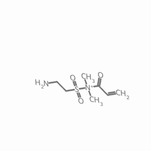 C=CC(=O)[N+](C)(C)S(=O)(=O)CCN